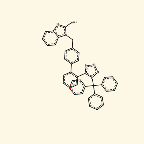 CCCCc1nc2ccccc2n1Cc1ccc(-c2ccccc2-c2nnnn2C(c2ccccc2)(c2ccccc2)c2ccccc2)cc1